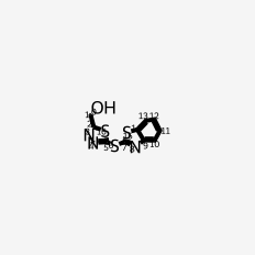 OCc1nnc(Sc2nc3ccccc3s2)s1